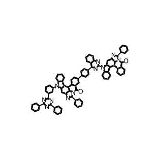 O=c1c2cc(-c3ccc(-c4nc(-n5c6ccccc6c6c7c8ccccc8c(=O)n8c(-c9ccccc9)nc(cc65)c78)nc5ccccc45)cc3)ccc2c2c3c4ccccc4n(-c4cccc(-c5nc(-c6ccccc6)nc(-c6ccccc6)n5)c4)c3cc3nc(-c4ccccc4)n1c32